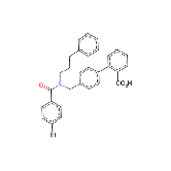 CCc1ccc(C(=O)N(CCCc2ccccc2)Cc2ccc(-c3ccccc3C(=O)O)cc2)cc1